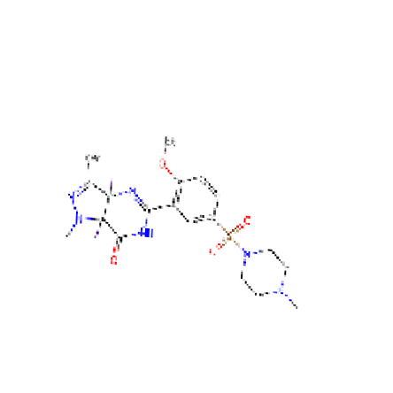 CCCC1=NN(C)C2(I)C(=O)NC(c3cc(S(=O)(=O)N4CCN(C)CC4)ccc3OCC)=NC12I